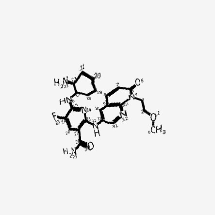 COCCn1c(=O)ccc2cc(Nc3nc(NC4CCCCC4N)c(F)cc3C(N)=O)cnc21